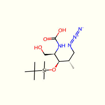 C[C@@H](CN=[N+]=[N-])[C@@H](O[Si](C)(C)C(C)(C)C)[C@@H](CO)NC(=O)O